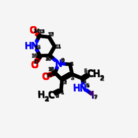 C=CC1=C(C(=C)NI)CN(C2CCC(=O)NC2=O)C1=O